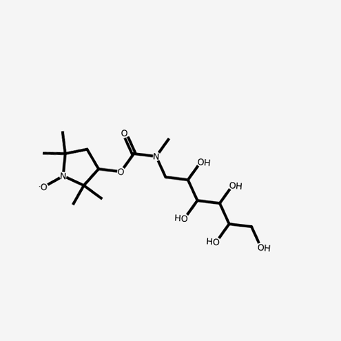 CN(CC(O)C(O)C(O)C(O)CO)C(=O)OC1CC(C)(C)N([O])C1(C)C